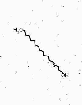 CCCCCCCCCCCCCCSCCCO